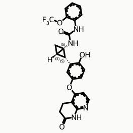 O=C1CCc2c(Oc3ccc(O)c([C@@H]4[C@@H]5C[C@@]45NC(=O)Nc4ccccc4OC(F)(F)F)c3)ccnc2N1